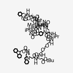 CC[C@H](C)[C@@H]([C@@H](CC(=O)N1CCC[C@H]1[C@H](OC)[C@@H](C)C(=O)N[C@@H](Cc1ccccc1)c1nccs1)OC)N(C)C(=O)[C@@H](NC(=O)[C@H](C(C)C)N(C)C(=O)OCc1ccc(NC(=O)[C@H](CCCNC(N)=O)NC(=O)[C@@H](NC(=O)CCOCCOCCNC(=O)[C@H](CCC(=O)OC(C)(C)C)NC(=O)CCn2c(CN(C)N(C)C(=O)OCC3c4ccccc4-c4ccccc43)cc3ccccc32)C(C)C)cc1)C(C)C